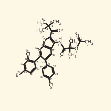 CC(=O)OC(C)(C)C(=O)Nc1c(C(=O)C(C)(C)C)oc2nc(-c3ccc(Br)cc3Cl)c(-c3ccc(Cl)cc3)cc12